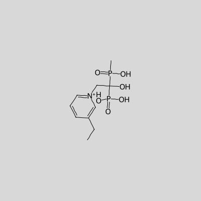 CCc1ccc[n+](CC(O)(P(C)(=O)O)P(=O)(O)O)c1